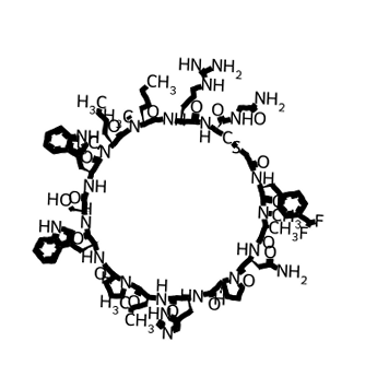 CCCC[C@H]1C(=O)N(C)[C@@H](CCCC)C(=O)N[C@@H](CCCNC(=N)N)C(=O)N[C@H](C(=O)NCC(N)=O)CSCC(=O)N[C@@H](Cc2ccc(C(F)F)cc2)C(=O)N(C)[C@@H](C)C(=O)N[C@@H](CC(N)=O)C(=O)N2CCC[C@H]2C(=O)N[C@@H](Cc2cnc[nH]2)C(=O)N[C@@H](CC(C)C)C(=O)N2CCC[C@H]2C(=O)N[C@@H](Cc2c[nH]c3ccccc23)C(=O)N[C@@H](CO)C(=O)N[C@@H](Cc2c[nH]c3ccccc23)C(=O)N1C